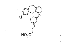 O=C(O)CCCN1CCC(C2c3ccccc3CCc3ccc(Cl)cc32)C(=O)C1